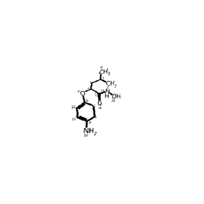 CC(C)CC(Oc1ccc(N)cc1)C(=O)NO